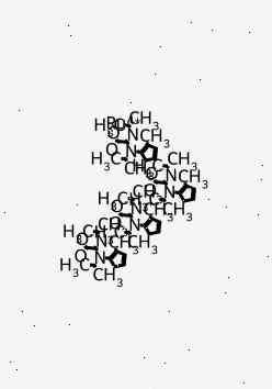 CC1=C(N(C(=NC(C)C)C(=O)[O-])C(C)C)CC=C1.CC1=C(N(C(=NC(C)C)C(=O)[O-])C(C)C)CC=C1.CC1=C(N(C(=NC(C)C)C(=O)[O-])C(C)C)CC=C1.CC1=C(N(C(=NC(C)C)C(=O)[O-])C(C)C)CC=C1.[Ru+4]